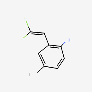 Nc1ccc(C(F)(F)F)cc1C=C(F)F